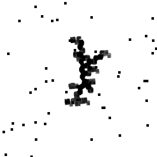 C=CCOC(=O)NC[C@H](CC(=O)C[C@H]1NC(=O)[C@H]1[C@@H](CO[SiH](C)C)C(C)(C)C)N(C)C(=O)OCC=C